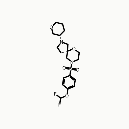 O=S(=O)(c1ccc(OC(F)F)cc1)N1CCO[C@@]2(CCN([C@H]3CCCOC3)C2)C1